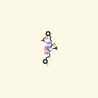 CC(C)COc1ccccc1CCCNC(=O)[C@H](CC1CC1)NC(=O)[C@@H](C)NC[C@H](C)Cc1cccc(F)c1